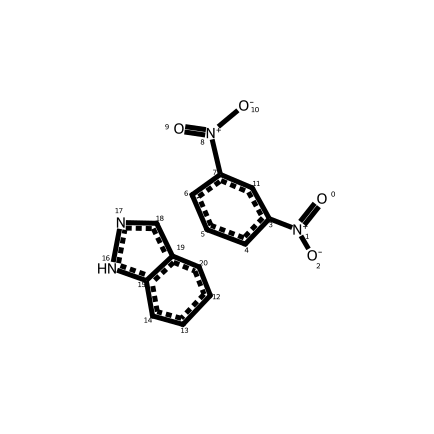 O=[N+]([O-])c1cccc([N+](=O)[O-])c1.c1ccc2[nH]ncc2c1